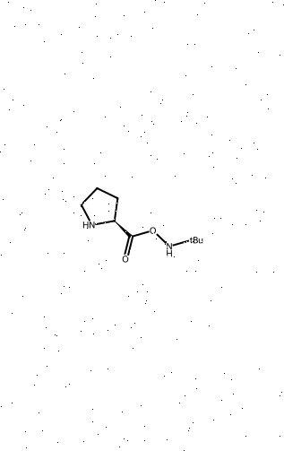 CC(C)(C)NOC(=O)[C@@H]1CCCN1